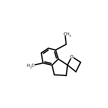 CCc1ccc(C)c2c1C1(CCO1)CC2